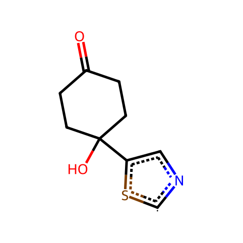 O=C1CCC(O)(c2cn[c]s2)CC1